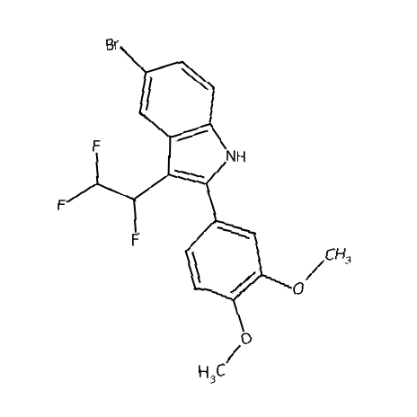 COc1ccc(-c2[nH]c3ccc(Br)cc3c2C(F)C(F)F)cc1OC